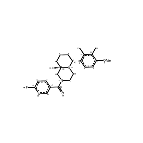 COc1ccc([C@H]2CCC[C@H]3CN(C(=O)c4ccc(F)nc4)CCN32)c(C)c1C